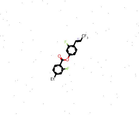 CCc1ccc(C(=O)Oc2ccc(/C=C/C(F)(F)F)c(F)c2)c(F)c1